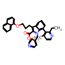 CCc1nccc(C)c1-c1cccc2c(CCCOc3cccc4ccccc34)c(C(=O)O)n(Cc3ccncc3)c12